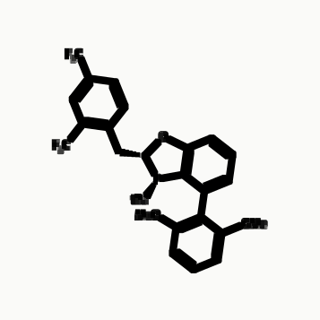 COc1cccc(OC)c1-c1cccc2c1[P@@](C(C)(C)C)[C@H](Cc1ccc(C(F)(F)F)cc1C(F)(F)F)O2